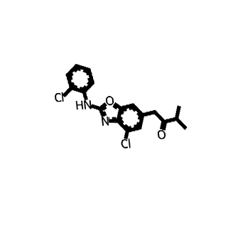 CC(C)C(=O)Cc1cc(Cl)c2nc(Nc3ccccc3Cl)oc2c1